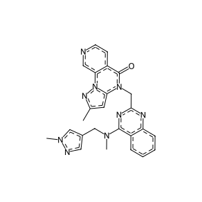 Cc1cc2n(Cc3nc(N(C)Cc4cnn(C)c4)c4ccccc4n3)c(=O)c3ccncc3n2n1